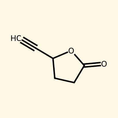 C#CC1CCC(=O)O1